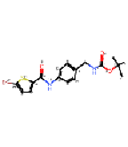 CC(C)(C)OC(=O)NCc1ccc(NC(=O)c2ccc(Br)s2)cc1